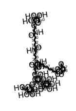 C[C@@H]1O[C@@H](OCCNC(=O)CCCCC(=O)NCCCC[C@H](NC(=O)CCCCCCC(=O)ON2C(=O)CCC2=O)C(=O)NCCO[C@H]2O[C@H](CO[C@H]3O[C@H](CO)[C@@H](O)[C@H](O)[C@@H]3O)[C@@H](O)[C@H](O[C@H]3O[C@H](CO)[C@@H](O)[C@H](O)[C@@H]3O)[C@@H]2O)[C@@H](O)[C@H](O)[C@@H]1O